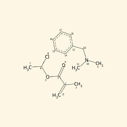 C=C(C)C(=O)OC(C)Cl.CN(C)Cc1ccccc1